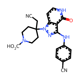 N#CCC1(n2nc(Nc3ccc(C#N)cc3)c3c(=O)[nH]ccc32)CCN(C(=O)O)CC1